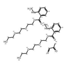 CC(=O)C=O.NNc1ccccc1C(=O)OCCOCCOCCO.NNc1ccccc1C(=O)OCCOCCOCCO